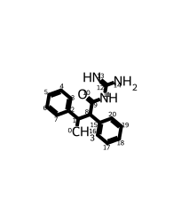 CC(c1ccccc1)C(C(=O)NC(=N)N)c1ccccc1